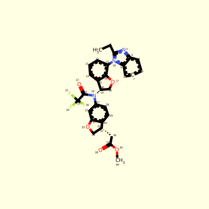 CCc1nc2ccccc2n1-c1cccc2c1OC[C@@H]2N(C(=O)C(F)(F)F)c1ccc2c(c1)OC[C@H]2CC(=O)OC